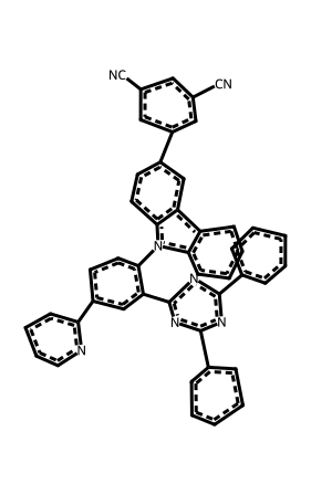 N#Cc1cc(C#N)cc(-c2ccc3c(c2)c2ccccc2n3-c2ccc(-c3ccccn3)cc2-c2nc(-c3ccccc3)nc(-c3ccccc3)n2)c1